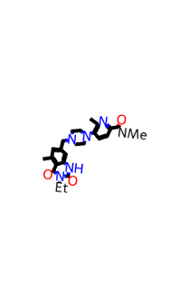 CCn1c(=O)[nH]c2cc(CN3CCN(c4ccc(C(=O)NC)nc4C)CC3)cc(C)c2c1=O